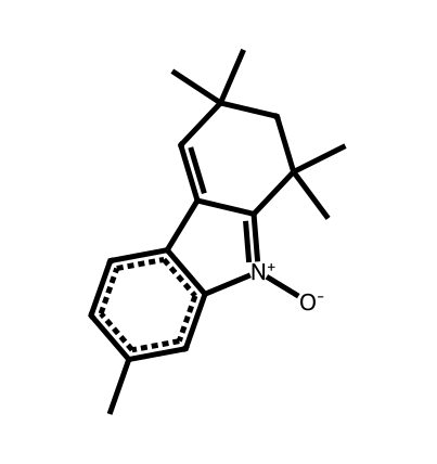 Cc1ccc2c(c1)[N+]([O-])=C1C2=CC(C)(C)CC1(C)C